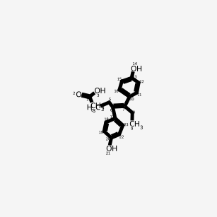 CC(=O)O.CC/C(=C(/CC)c1ccc(O)cc1)c1ccc(O)cc1